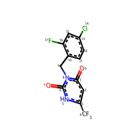 O=c1cc(C(F)(F)F)[nH]c(=O)n1Cc1ccc(Cl)cc1F